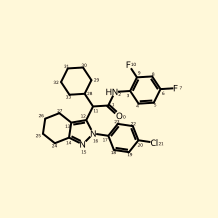 O=C(Nc1ccc(F)cc1F)C(c1c2c(nn1-c1ccc(Cl)cc1)CCCC2)C1CCCCC1